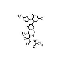 CCN(NC(=O)C(F)(F)F)C(=O)N[C@H](C)c1ncc(-c2cc(Cl)cc(F)c2-n2ccc(C)n2)cc1F